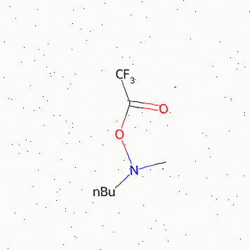 CCCCN(C)OC(=O)C(F)(F)F